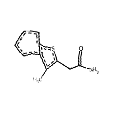 Cc1c(CC(N)=O)sc2ccccc12